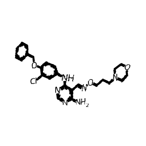 Nc1ncnc(Nc2ccc(OCc3ccccc3)c(Cl)c2)c1C=NOCCCN1CCOCC1